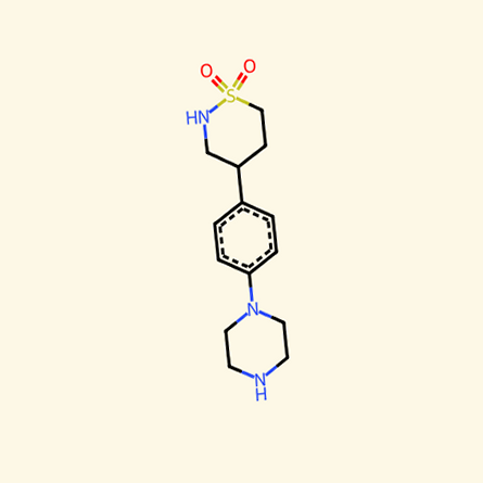 O=S1(=O)CCC(c2ccc(N3CCNCC3)cc2)CN1